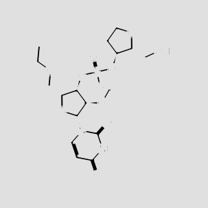 CCOC[C@H]1O[C@@H](n2ccc(=O)[nH]c2=O)[C@H](OC)[C@@H]1OP(=O)(O)O[C@H]1CCO[C@@H]1CO